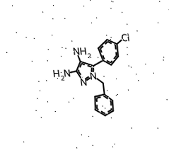 Nc1nn(Cc2ccccc2)c(-c2ccc(Cl)cc2)c1N